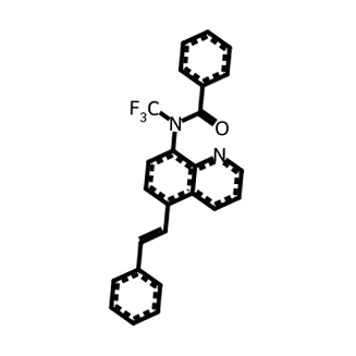 O=C(c1ccccc1)N(c1ccc(C=Cc2ccccc2)c2cccnc12)C(F)(F)F